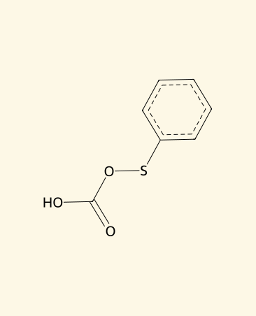 O=C(O)OSc1ccccc1